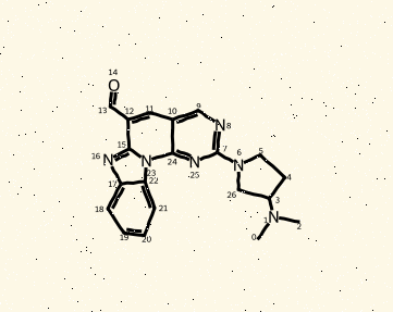 CN(C)C1CCN(c2ncc3cc(C=O)c4nc5ccccc5n4c3n2)C1